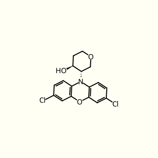 O[C@H]1CCOC[C@@H]1N1c2ccc(Cl)cc2Oc2cc(Cl)ccc21